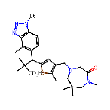 CCn1nnc2c(C)c(C(c3cc(CN4CC(=O)N(C)CC(C)(C)C4)c(C)s3)C(C)(C)C(=O)O)ccc21